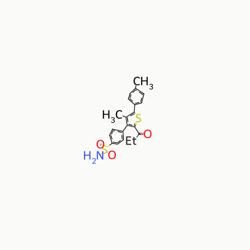 CCC(=O)c1sc(-c2ccc(C)cc2)c(C)c1-c1ccc(S(N)(=O)=O)cc1